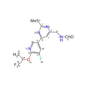 CSc1nc(CNC=O)cc(-c2cnc(OC(C)C(F)(F)F)c(F)c2)n1